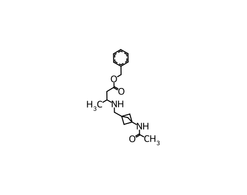 CC(=O)NC12CC(CNC(C)CC(=O)OCc3ccccc3)(C1)C2